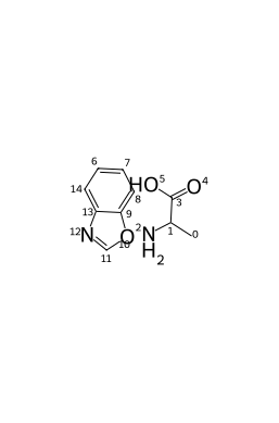 CC(N)C(=O)O.c1ccc2ocnc2c1